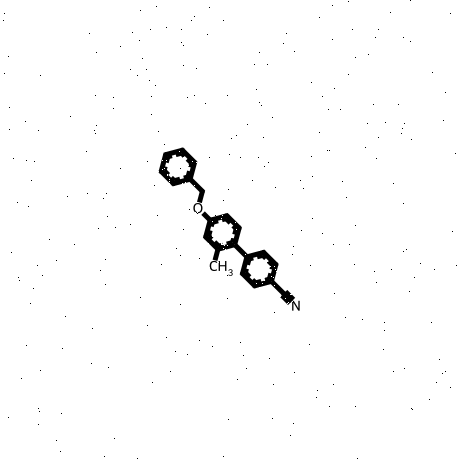 Cc1cc(OCc2ccccc2)ccc1-c1ccc(C#N)cc1